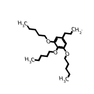 [CH2]CCc1cc(OCCCCC)c(OCCCCC)c(OCCCCC)c1